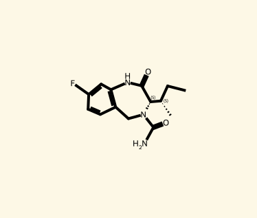 CC[C@H](C)[C@H]1C(=O)Nc2cc(F)ccc2CN1C(N)=O